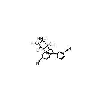 CN1C(=N)N[C@](C)(c2cc(-c3cccc(C#N)c3)cs2)[C@H](c2cccc(C#N)c2)C1=O